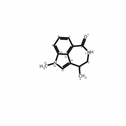 CC1CNC(=O)c2cccc3c2c1cn3C